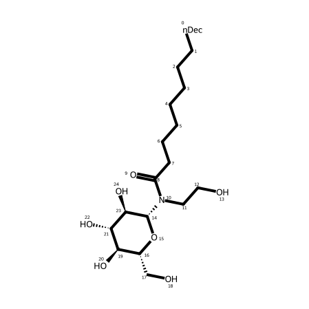 CCCCCCCCCCCCCCCCCC(=O)N(CCO)[C@@H]1O[C@H](CO)[C@@H](O)[C@H](O)[C@H]1O